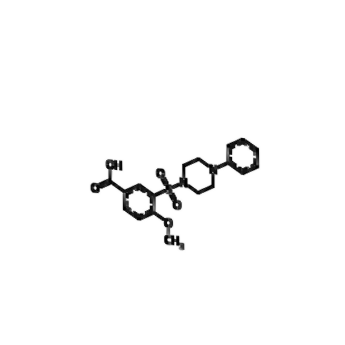 COc1ccc(C(=O)O)cc1S(=O)(=O)N1CCN(c2ccccc2)CC1